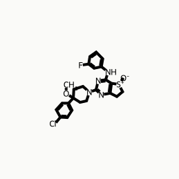 COC1(c2ccc(Cl)cc2)CCN(c2nc3c(c(Nc4cccc(F)c4)n2)[S+]([O-])CC3)CC1